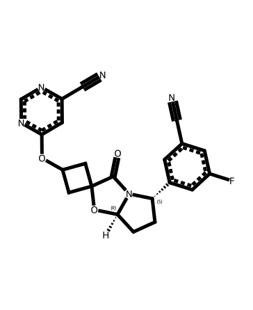 N#Cc1cc(F)cc([C@@H]2CC[C@H]3OC4(CC(Oc5cc(C#N)ncn5)C4)C(=O)N32)c1